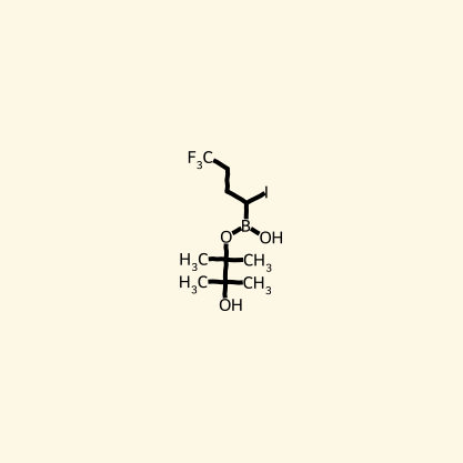 CC(C)(O)C(C)(C)OB(O)C(I)CCC(F)(F)F